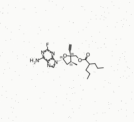 C#C[C@]1(COC(=O)C(CCC)CCC)O[C@@H](n2cnc3c(N)nc(F)nc32)C[C@@H]1C